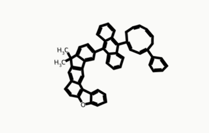 CC1(C)c2ccc(-c3c4ccccc4c(/C4=C/C=C(/c5ccccc5)C/C=C\C=C/C4)c4ccccc34)cc2-c2cc3c(ccc4oc5ccccc5c43)cc21